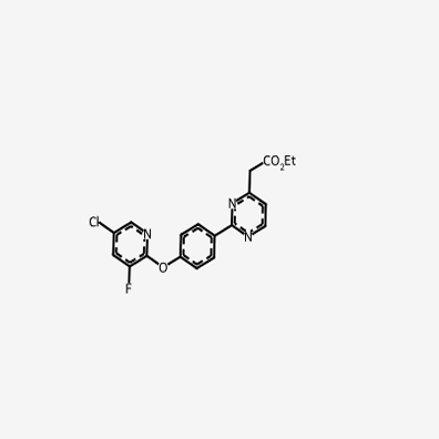 CCOC(=O)Cc1ccnc(-c2ccc(Oc3ncc(Cl)cc3F)cc2)n1